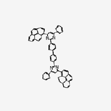 c1ccc(-c2cc(-c3ccc4ccc5cccc6ccc3c4c56)nc(-c3ccc(-c4ccc(-c5nc(-c6ccccc6)cc(-c6ccc7ccc8cccc9ccc6c7c89)n5)cc4)cc3)n2)cc1